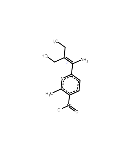 CC/C(CO)=C(\N)c1ccc([N+](=O)[O-])c(C)n1